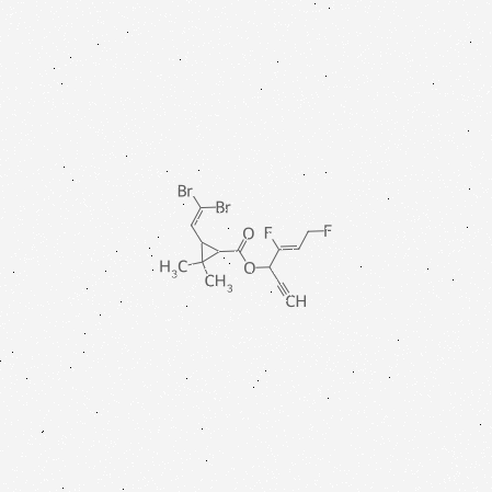 C#CC(OC(=O)C1C(C=C(Br)Br)C1(C)C)/C(F)=C/CF